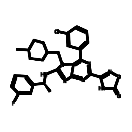 CC1CCC(Cn2c(N[C@@H](C)c3cccc(F)c3)nc3nc(-c4noc(=O)[nH]4)nc(-c4cccc(Cl)c4)c32)CC1